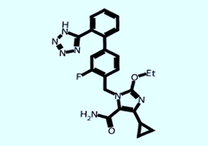 CCOc1nc(C2CC2)c(C(N)=O)n1Cc1ccc(-c2ccccc2-c2nnn[nH]2)cc1F